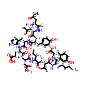 CC[C@H](C)[C@H](NC(=O)[C@H](CC(N)=O)NC(=O)[C@H](CCC(=O)O)NC(=O)[C@H](Cc1c[nH]cn1)NC(=O)[C@H](Cc1ccc(O)cc1)NC(=O)[C@H](CC(C)C)NC(=O)[C@@H](N)CC(N)=O)C(=O)N[C@H](C(=O)N[C@@H](CCCCN)C(=O)N[C@@H](Cc1ccc(O)cc1)C(=O)O)C(C)C